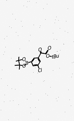 CC(C)(C)OC(=O)C(=O)c1cc(Cl)cc(B2OC(C)(C)C(C)(C)O2)c1